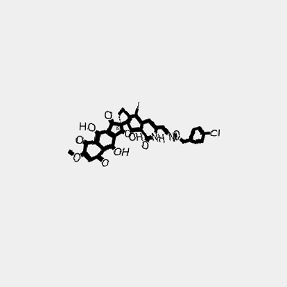 COC1=CC(=O)c2c(O)c3c(c(O)c2C1=O)C(=O)[C@]1(CCc2c1c(O)c1c(=O)[nH]c(C=NOCc4ccc(Cl)cc4)cc1c2I)C3=O